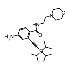 CC(C)[Si](C#Cc1cc(N)ccc1C(=O)NCCN1CCOCC1)(C(C)C)C(C)C